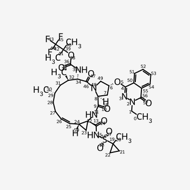 CCn1nc(O[C@@H]2C[C@H]3C(=O)N[C@]4(C(=O)NS(=O)(=O)C5(C)CC5)C[C@@H]4/C=C\CC[C@H](C)C[C@@H](C)[C@H](NC(=O)OC(C)(C)C(F)(F)F)C(=O)N3C2)c2ccccc2c1=O